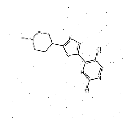 CN1CCC(c2ncc(-c3nc(Cl)ncc3Cl)s2)CC1